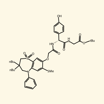 CCCCC1(CCCC)CN(c2ccccc2)c2cc(SC)c(OCC(=O)N[C@@H](C(=O)NCC(=O)OC(C)(C)C)c3ccc(O)cc3)cc2S(=O)(=O)C1